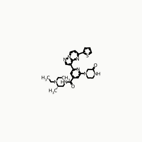 CCN(CC)[C@@H](C)CNC(=O)c1cc(-c2cnn3ccc(-c4cccs4)nc23)nc(N2CCNC(=O)C2)c1